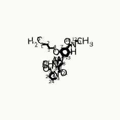 C=CCCCOc1cc(C(=O)NCC)ccc1-n1cc(C(=O)N2CCC[C@H]2COC)nn1